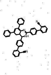 N#Cc1ccccc1-c1ccc(C2=NC3=C(c4ccccc4)C=C(c4ccccc4)CC3C(c3ccc(-c4ccccc4C#N)cc3)N2)cc1